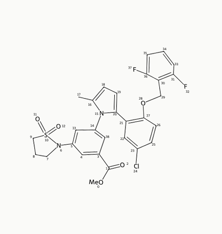 COC(=O)c1cc(N2CCCS2(=O)=O)cc(-n2c(C)ccc2-c2cc(Cl)ccc2OCc2c(F)cccc2F)c1